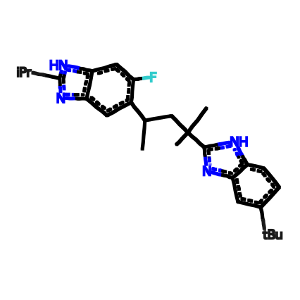 CC(C)c1nc2cc(C(C)CC(C)(C)c3nc4cc(C(C)(C)C)ccc4[nH]3)c(F)cc2[nH]1